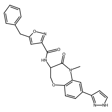 CN1C(=O)C(NC(=O)c2cc(Cc3ccccc3)on2)COc2ccc(-c3cc[nH]n3)cc21